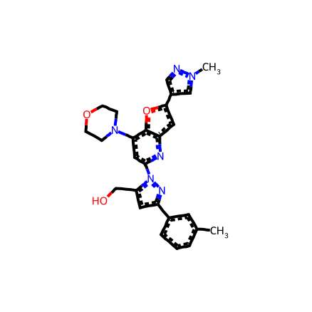 Cc1cccc(-c2cc(CO)n(-c3cc(N4CCOCC4)c4oc(-c5cnn(C)c5)cc4n3)n2)c1